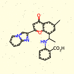 Cc1cc(C(C)Nc2ccccc2C(=O)O)c2oc(-c3cn4ccccc4n3)cc(=O)c2c1